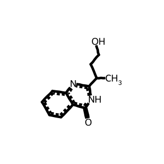 CC(CCO)c1nc2ccccc2c(=O)[nH]1